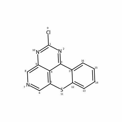 Clc1nc2c3c(cncc3n1)Sc1ccccc1-2